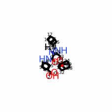 O=C(O)c1cccc(NC(=O)c2nc([C@@H]3CC4C=C[C@@H]3C4)[nH]c2COC23CC4CC(CC(C4)C2)C3)c1